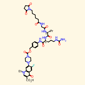 CCn1cc(C(=O)O)c(=O)c2cc(F)c(N3CCN(C(=O)OCc4ccc(NC(=O)[C@H](CCCNC(N)=O)NC(=O)[C@@H](NC(=O)CNC(=O)CCCCCN5C(=O)CCC5=O)C(C)C)cc4)CC3)cc21